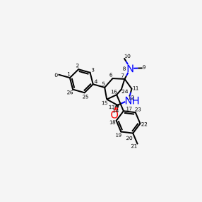 Cc1ccc(C2CC3(N(C)C)CNC(=O)C2C(c2ccc(C)cc2)C3)cc1